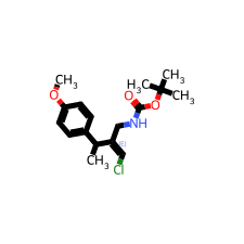 COc1ccc(C(C)/C(=C\Cl)CNC(=O)OC(C)(C)C)cc1